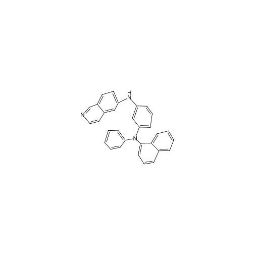 c1ccc(N(c2cccc(Nc3ccc4cnccc4c3)c2)c2cccc3ccccc23)cc1